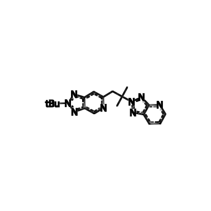 CC(C)(C)n1nc2cnc(CC(C)(C)n3nc4cccnc4n3)cc2n1